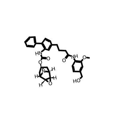 COc1cc(CO)ccc1NC(=O)CCCc1ccc(-c2ccccc2)c(NC(=O)O[C@H]2C[C@H]3[C@@H]4O[C@@H]4[C@H](C2)N3C)c1